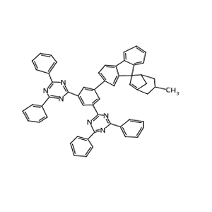 CC1CC2=CC3(c4ccccc4-c4ccc(-c5cc(-c6nc(-c7ccccc7)nc(-c7ccccc7)n6)cc(-c6nc(-c7ccccc7)nc(-c7ccccc7)n6)c5)cc43)C(C2)C1